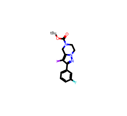 CC(C)(C)OC(=O)N1CCn2nc(-c3cccc(F)c3)c(I)c2C1